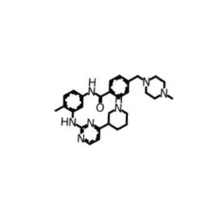 Cc1ccc(NC(=O)c2ccc(CN3CCN(C)CC3)cc2)cc1Nc1nccc(C2CCCNC2)n1